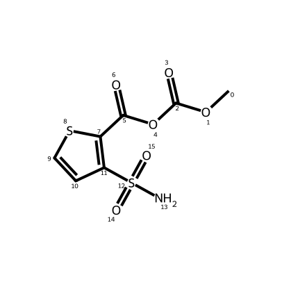 COC(=O)OC(=O)c1sccc1S(N)(=O)=O